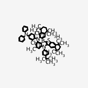 Cc1cc2c3c(c1)N(c1ccc(C(C)(C)C)cc1)c1c(sc4cc5c(cc14)C(C)(C)CCC5(C)C)B3c1cc3c(cc1N2c1c(C)cc(N(c2ccccc2)c2ccccc2)cc1C)C(C)(C)CCC3(C)C